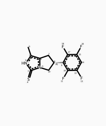 Cc1[nH]c(=S)n2c1C[C@H](c1c(F)c(F)cc(F)c1F)C2